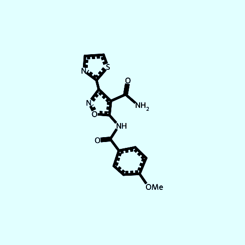 COc1ccc(C(=O)Nc2onc(-c3nccs3)c2C(N)=O)cc1